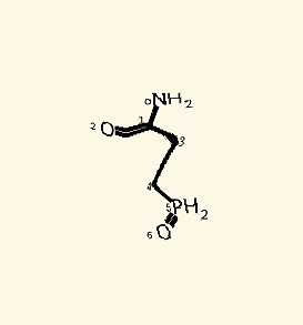 NC(=O)CC[PH2]=O